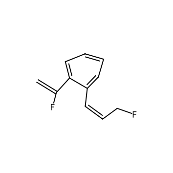 C=C(F)c1ccccc1/C=C\CF